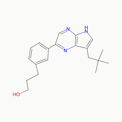 CC(C)(C)Cc1c[nH]c2ncc(-c3cccc(CCCO)c3)nc12